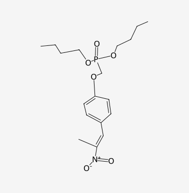 CCCCOP(=O)(COc1ccc(/C=C(\C)[N+](=O)[O-])cc1)OCCCC